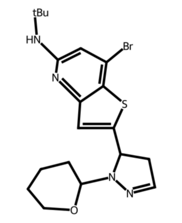 CC(C)(C)Nc1cc(Br)c2sc(C3CC=NN3C3CCCCO3)cc2n1